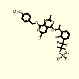 CC[Si](CC)(CC)OC(C)(C)C(F)(F)c1cccc(C(C)Nc2nc(C)nc3c(OCc4ccc(OC)cc4)nc(Cl)cc23)c1F